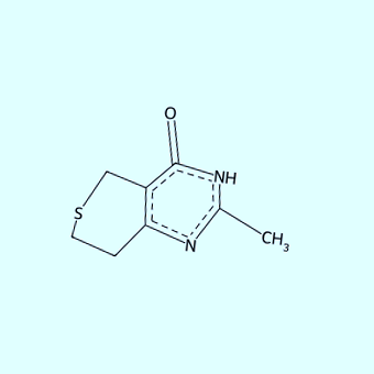 Cc1nc2c(c(=O)[nH]1)CSCC2